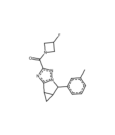 Cc1cccc(C2C3CC3c3nc(C(=O)N4CC(F)C4)nn32)c1